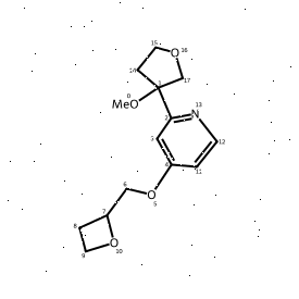 COC1(c2cc(OCC3CCO3)ccn2)CCOC1